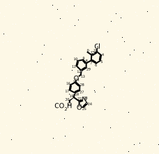 Cc1c(Cl)cccc1-c1cccc(COc2ccc([C@H](CC(=O)O)c3ncco3)cc2)c1